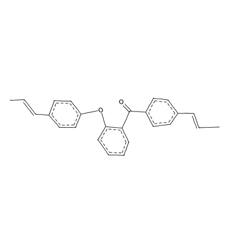 CC=Cc1ccc(Oc2ccccc2C(=O)c2ccc(C=CC)cc2)cc1